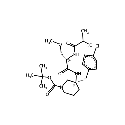 COC[C@H](NC(=O)C(C)C)C(=O)N[C@@]1(Cc2ccc(Cl)cc2)CCCN(C(=O)OC(C)(C)C)C1